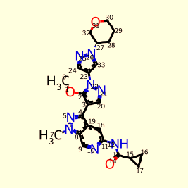 COc1c(-c2nn(C)c3cnc(NC(=O)C4CC4)cc23)cnn1-c1cnn([C@H]2CCCOC2)c1